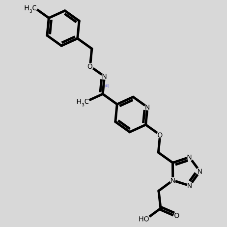 C/C(=N\OCc1ccc(C)cc1)c1ccc(OCc2nnnn2CC(=O)O)nc1